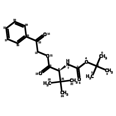 CC(C)(C)OC(=O)N[C@@H](C(=O)OCC(=O)c1ccccc1)C(C)(C)C